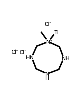 C[N+]1([Ti])CNCNCNC1.[Cl-].[Cl-].[Cl-]